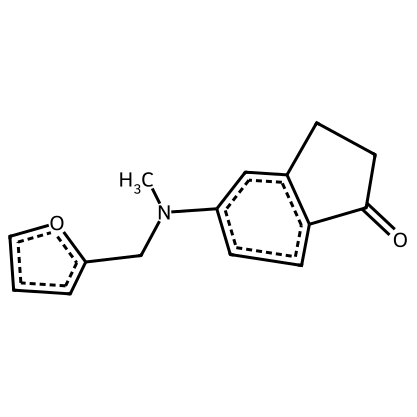 CN(Cc1ccco1)c1ccc2c(c1)CCC2=O